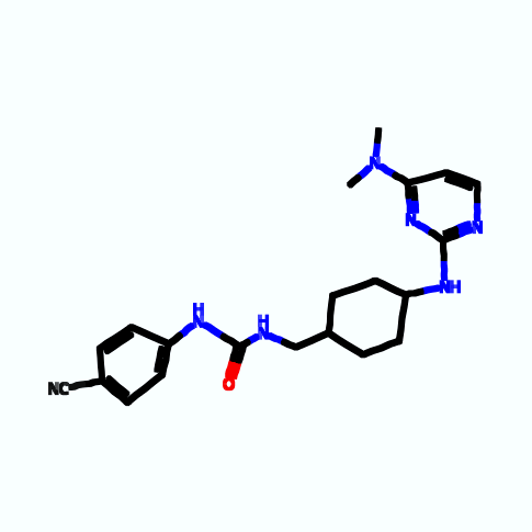 CN(C)c1ccnc(NC2CCC(CNC(=O)Nc3ccc(C#N)cc3)CC2)n1